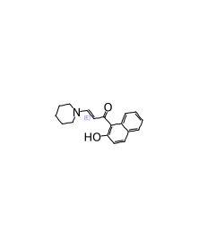 O=C(/C=C/N1CCCCC1)c1c(O)ccc2ccccc12